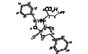 CC[C@H](NC(CC(C)C)C(=O)O)P(=O)(OCc1ccccc1)OCc1ccccc1